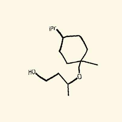 CC(CCO)OC1(C)CCC(C(C)C)CC1